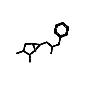 CC(Cc1ccccc1)CC1C2CC(C)C(C)N12